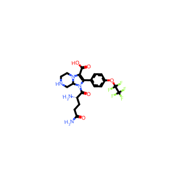 NC(=O)CC[C@H](N)C(=O)N1C(c2ccc(OC(F)(F)C(F)(F)F)cc2)=C(C(=O)O)N2CCNCC21